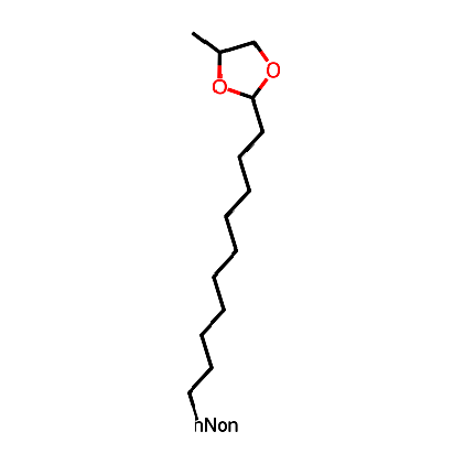 CCCCCCCCCCCCCCCCCCCC1OCC(C)O1